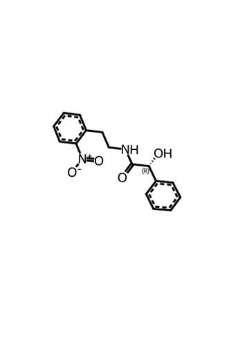 O=C(NCCc1ccccc1[N+](=O)[O-])[C@H](O)c1ccccc1